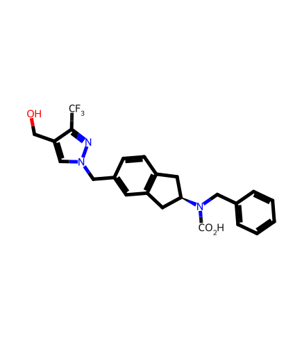 O=C(O)N(Cc1ccccc1)[C@@H]1Cc2ccc(Cn3cc(CO)c(C(F)(F)F)n3)cc2C1